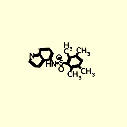 Cc1cc(C)c(C)c(S(=O)(=O)Nc2cc[c]c3ncccc23)c1C